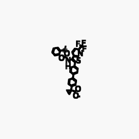 COC(=O)C1(c2ccc(-c3ccc(-c4sc5nc(C(F)(F)F)ccc5c4NC(=O)O[C@H](C)c4ccccc4)cc3)cc2)CC1